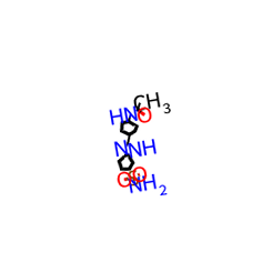 CC(=O)Nc1ccc(-c2nc3ccc(S(N)(=O)=O)cc3[nH]2)cc1